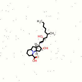 CCCCCC(C)C[C@@H](O)/C=C/[C@@H]1[C@H]2CC3CCCC(C(=O)O)N3[C@@H]2C[C@H]1O